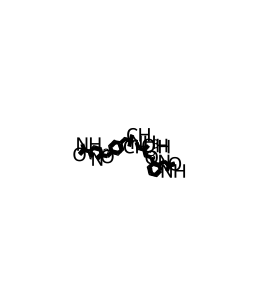 CC(C)(Cc1ccc(Oc2ccc(C(N)=O)cn2)cc1)NCC(O)COc1cccc2[nH]c(=O)[nH]c12